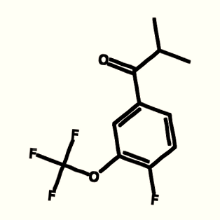 CC(C)C(=O)c1ccc(F)c(OC(F)(F)F)c1